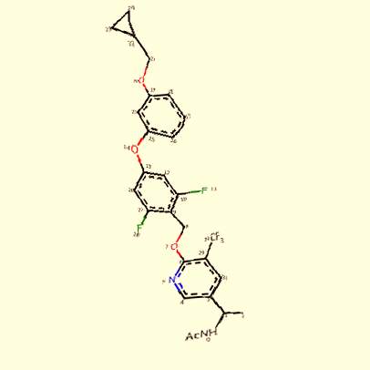 CC(=O)NC(C)c1cnc(OCc2c(F)cc(Oc3cccc(OCC4CC4)c3)cc2F)c(C(F)(F)F)c1